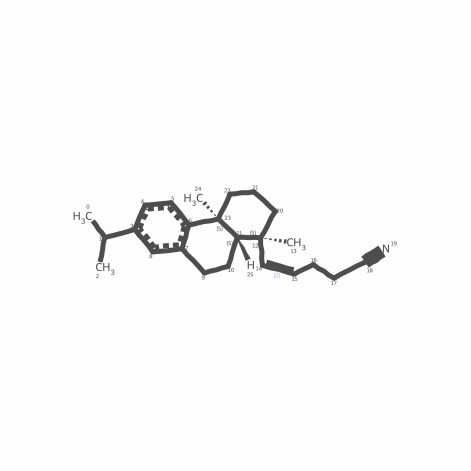 CC(C)c1ccc2c(c1)CC[C@H]1[C@](C)(/C=C\CCC#N)CCC[C@]21C